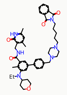 CCN(c1cc(-c2ccc(CN3CCN(CCCCCN4C(=O)c5ccccc5C4=O)CC3)cc2)cc(C(=O)NCc2c(C)cc(C)[nH]c2=O)c1C)C1CCOCC1